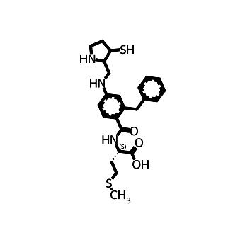 CSCC[C@H](NC(=O)c1ccc(NCC2NCCC2S)cc1Cc1ccccc1)C(=O)O